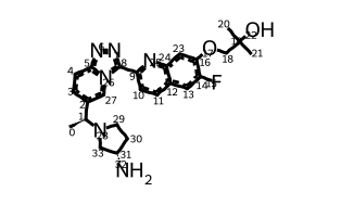 C[C@@H](c1ccc2nnc(-c3ccc4cc(F)c(OCC(C)(C)O)cc4n3)n2c1)N1CC[C@H](N)C1